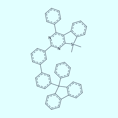 C[Si]1(C)c2ccccc2-c2c(-c3ccccc3)nc(-c3cccc(-c4cccc(C5(c6ccccc6)c6ccccc6-c6ccccc65)c4)c3)nc21